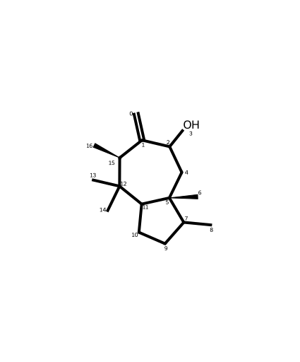 C=C1C(O)C[C@]2(C)C(C)CCC2C(C)(C)[C@H]1C